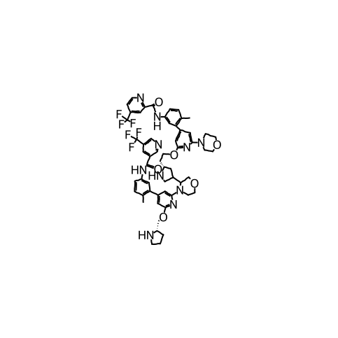 Cc1ccc(NC(=O)c2cncc(C(F)(F)F)c2)cc1-c1cc(OC[C@@H]2CCCN2)nc(N2CCOCC2C2CN[C@H](CCOc3cc(-c4cc(NC(=O)c5cc(C(F)(F)F)ccn5)ccc4C)cc(N4CCOCC4)n3)C2)c1